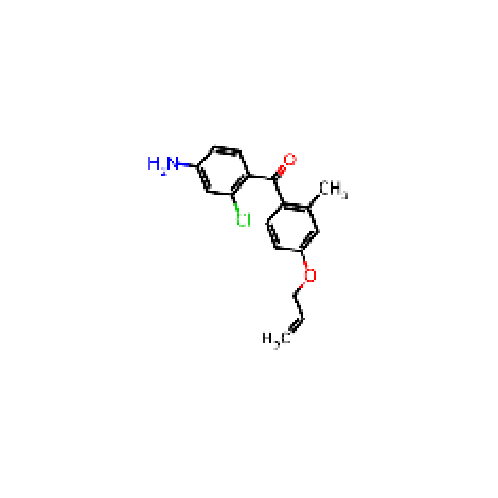 C=CCOc1ccc(C(=O)c2ccc(N)cc2Cl)c(C)c1